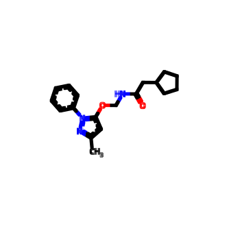 Cc1cc(OCNC(=O)CC2CCCC2)n(-c2ccccc2)n1